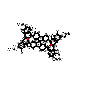 COc1ccc(N(c2ccc(OC)c(C)c2)c2ccc3c(c2)C2(c4cc(N(c5ccc(OC)c(C)c5)c5ccc(OC)c(C)c5)ccc4-3)c3cc(N(c4ccc(OC)c(C)c4)c4ccc(OC)c(C)c4)ccc3-c3ccc(N(c4ccc(OC)c(C)c4)c4ccc(OC)c(C)c4)cc32)cc1C